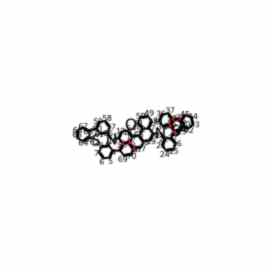 c1ccc(-c2ccccc2N(c2cc3c4c(ccc5cc(N(c6ccccc6-c6ccccc6)c6cccc7c6sc6ccccc67)c6cccc(c6c54)O3)c2)c2cccc3c2sc2ccccc23)cc1